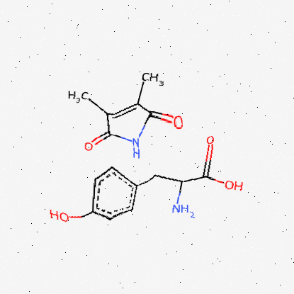 CC1=C(C)C(=O)NC1=O.NC(Cc1ccc(O)cc1)C(=O)O